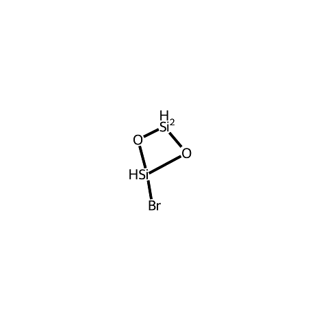 Br[SiH]1O[SiH2]O1